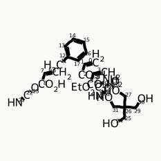 C=CC(=O)O.C=CC(=O)O.C=CC(=O)O.CCOC(N)=O.Cc1ccccc1.N=C=O.N=C=O.OCC(CO)(CO)CO